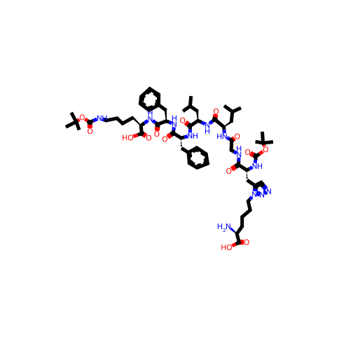 CC(C)C[C@@H](NC(=O)CNC(=O)[C@@H](Cc1cnnn1CCCC[C@H](N)C(=O)O)NC(=O)OC(C)(C)C)C(=O)N[C@H](CC(C)C)C(=O)N[C@H](Cc1ccccc1)C(=O)N[C@H](Cc1ccccc1)C(=O)N[C@H](CCCCNC(=O)OC(C)(C)C)C(=O)O